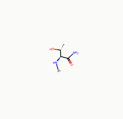 CCN[C@H](C(N)=O)[C@@H](C)O